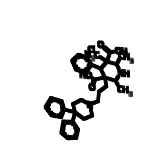 CC1NC(C)C(CCCN2CCC(c3ccccc3)(c3ccccc3)CC2)(C(=O)O)C(c2ccccc2Cl)C1(C)C(=O)O